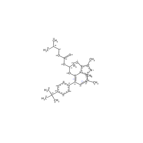 CCn1nc(C)c(Cl)c1/C(OC(C)OC(=O)OCC(C)C)=C(\C=N/C)c1ccc(C(C)(C)C)cc1